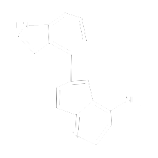 Nc1ccnc2ccc(-c3cccc4[nH]ccc34)cc12